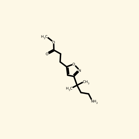 COC(=O)CCc1cc(C(C)(C)CCN)no1